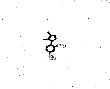 CC1=C(C)C(c2ccc(C(C)(C)C)cc2C=O)C=C1